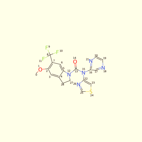 COc1cc2c(cc1C(F)(F)F)N(C(=O)N(c1cnccn1)c1cscn1)CC2